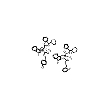 C[C@@](Cc1c[nH]c2ccccc12)(NC(=O)OCc1ccc(Cl)cc1)C(=O)NC(c1ccccn1)C1CCCCC1.C[C@@](Cc1c[nH]c2ccccc12)(NC(=O)OCc1ccccc1F)C(=O)NC(c1ccccn1)C1CCCCC1